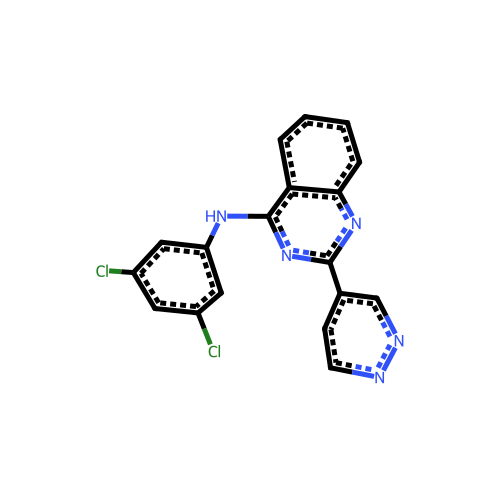 Clc1cc(Cl)cc(Nc2nc(-c3ccnnc3)nc3ccccc23)c1